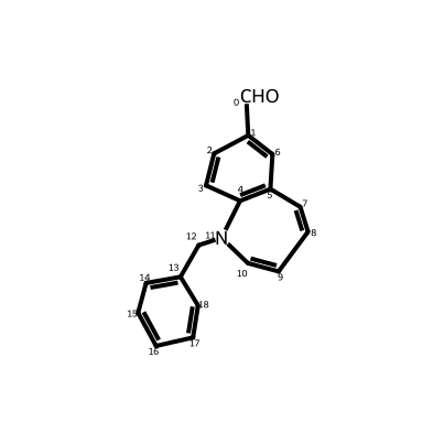 O=Cc1ccc2c(c1)C=CC=CN2Cc1ccccc1